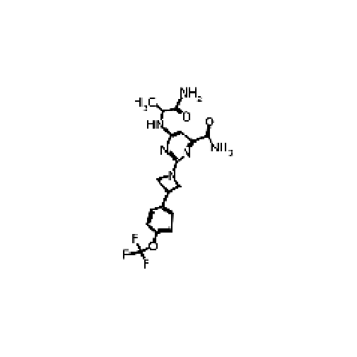 CC(Nc1cc(C(N)=O)nc(N2CC(c3ccc(OC(F)(F)F)cc3)C2)n1)C(N)=O